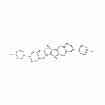 Cc1ccc(-c2ccc3cc4c(cc3c2)sc2c3cc5ccc(-c6ccc(C)cc6)cc5cc3sc42)cc1